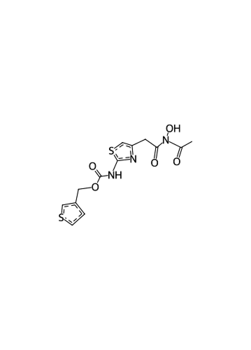 CC(=O)N(O)C(=O)Cc1csc(NC(=O)OCc2ccsc2)n1